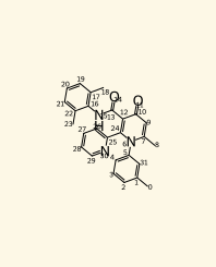 Cc1cccc(-n2c(C)cc(=O)c(C(=O)Nc3c(C)cccc3C)c2-c2ccccn2)c1